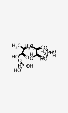 C=C(C)C(=O)O.C=C(C)C(=O)O.O=[PH](O)O.O=[PH](O)O